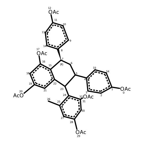 CC(=O)Oc1ccc(C2C[C@H](c3ccc(OC(C)=O)cc3)c3c(OC(C)=O)cc(OC(C)=O)cc3C2c2c(C)cc(OC(C)=O)cc2OC(C)=O)cc1